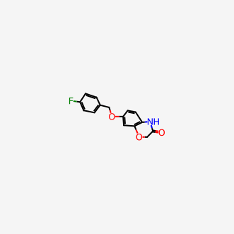 O=C1COc2cc(OCc3ccc(F)cc3)ccc2N1